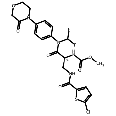 COC(=O)N[C@@H](CNC(=O)c1ccc(Cl)s1)C(=O)N(c1ccc(N2CCOCC2=O)cc1)C(F)F